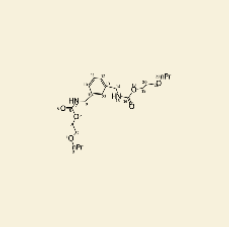 CCCOCCOC(=O)NCc1cccc(CNC(=O)OCCOCCC)c1